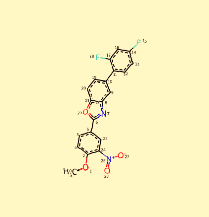 COc1ccc(-c2nc3cc(-c4ccc(F)cc4F)ccc3o2)cc1[N+](=O)[O-]